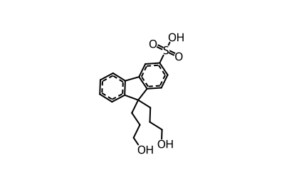 O=S(=O)(O)c1ccc2c(c1)-c1ccccc1C2(CCCO)CCCO